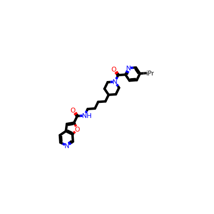 CC(C)c1ccc(C(=O)N2CCC(CCCCNC(=O)c3cc4ccncc4o3)CC2)nc1